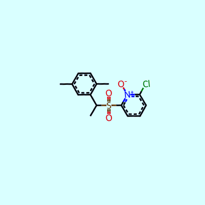 Cc1ccc(C)c(C(C)S(=O)(=O)c2cccc(Cl)[n+]2[O-])c1